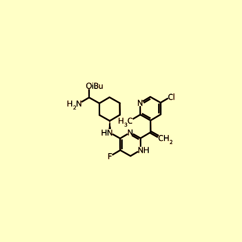 C=C(C1=NC(N[C@@H]2CCCC(C(N)OCC(C)C)C2)=C(F)CN1)c1cc(Cl)cnc1C